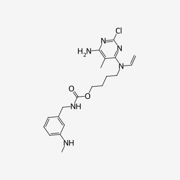 C=CN(CCCCOC(=O)NCc1cccc(NC)c1)c1nc(Cl)nc(N)c1C